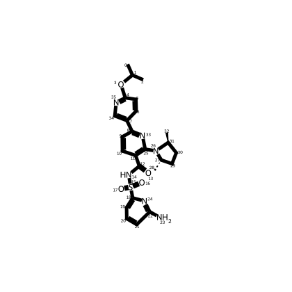 CC(C)Oc1ccc(-c2ccc(C(=O)NS(=O)(=O)c3cccc(N)n3)c(N3[C@@H](C)CC[C@@H]3C)n2)cn1